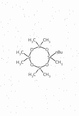 CCCC[Si]1(C)O[Si](C)(C)O[Si](C)(C)O[Si](C)(C)O1